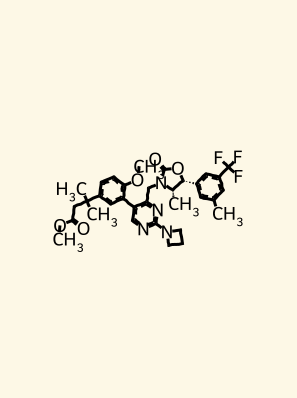 COC(=O)CC(C)(C)c1ccc(OC)c(-c2cnc(N3CCC3)nc2CN2C(=O)O[C@H](c3cc(C)cc(C(F)(F)F)c3)[C@@H]2C)c1